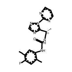 Cc1cc(NC(=O)N[C@@H](C)c2ncnn2-c2ncccn2)c(C)cc1F